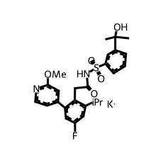 COc1cc(-c2cc(F)cc(C(C)C)c2CC(=O)NS(=O)(=O)c2cccc(C(C)(C)O)c2)ccn1.[K]